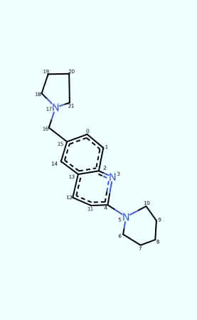 c1cc2nc(N3CCCCC3)ccc2cc1CN1CCCC1